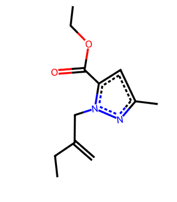 C=C(CC)Cn1nc(C)cc1C(=O)OCC